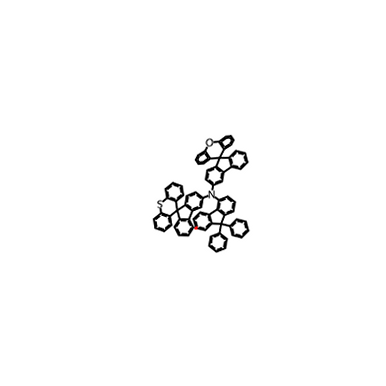 c1ccc(C2(c3ccccc3)c3ccccc3-c3c(N(c4ccc5c(c4)-c4ccccc4C54c5ccccc5Oc5ccccc54)c4ccc5c(c4)-c4ccccc4C54c5ccccc5Sc5ccccc54)cccc32)cc1